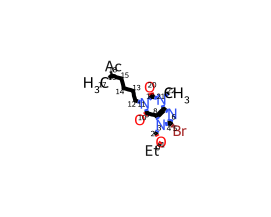 CCOCn1c(Br)nc2c1c(=O)n(CCCC[C@@H](C)C(C)=O)c(=O)n2C